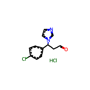 Cl.O=CCC(c1ccc(Cl)cc1)n1ccnc1